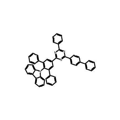 c1ccc(-c2ccc(-c3nc(-c4ccccc4)nc(-c4cc(-c5ccccc5)c(-n5c6ccccc6c6ccccc65)c(-c5ccccc5)c4)n3)cc2)cc1